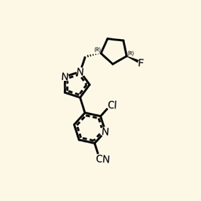 N#Cc1ccc(-c2cnn(C[C@@H]3CC[C@@H](F)C3)c2)c(Cl)n1